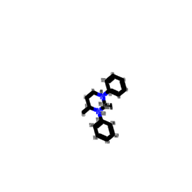 CC1CCN(c2ccccc2)BN1c1ccccc1